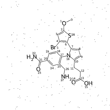 COc1cc(Br)c(-c2ccc(CCC(=O)O)n2-c2ccc(C(N)=O)cc2CN)s1